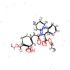 CCOC(=O)c1ccc(CC(=O)NC(C(=O)OCC)c2ccccc2N2CCCCC2)cc1O